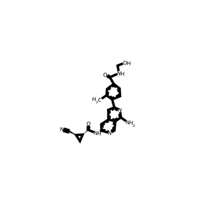 Cc1cc(C(=O)NCO)ccc1-c1cc2cc(NC(=O)[C@@H]3C[C@H]3C#N)ncc2c(N)n1